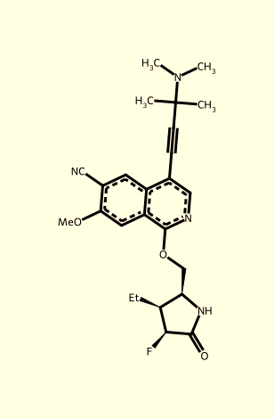 CC[C@@H]1[C@H](F)C(=O)N[C@@H]1COc1ncc(C#CC(C)(C)N(C)C)c2cc(C#N)c(OC)cc12